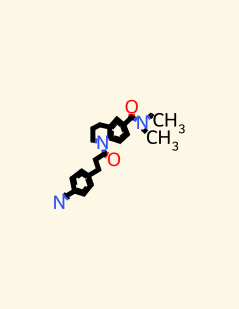 CCN(CC)C(=O)c1ccc2c(c1)CCCN2C(=O)CCc1ccc(C#N)cc1